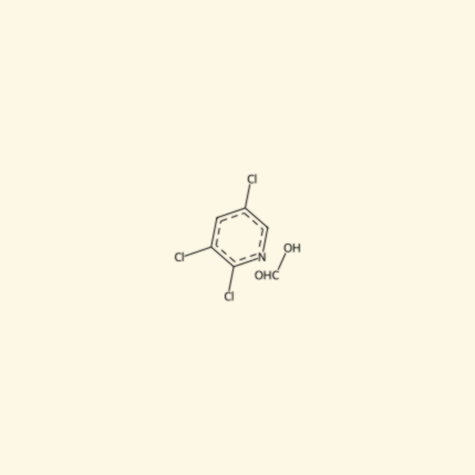 Clc1cnc(Cl)c(Cl)c1.O=CO